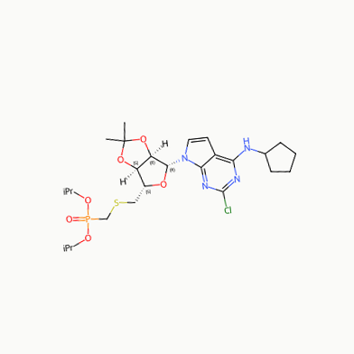 CC(C)OP(=O)(CSC[C@H]1O[C@@H](n2ccc3c(NC4CCCC4)nc(Cl)nc32)[C@@H]2OC(C)(C)O[C@@H]21)OC(C)C